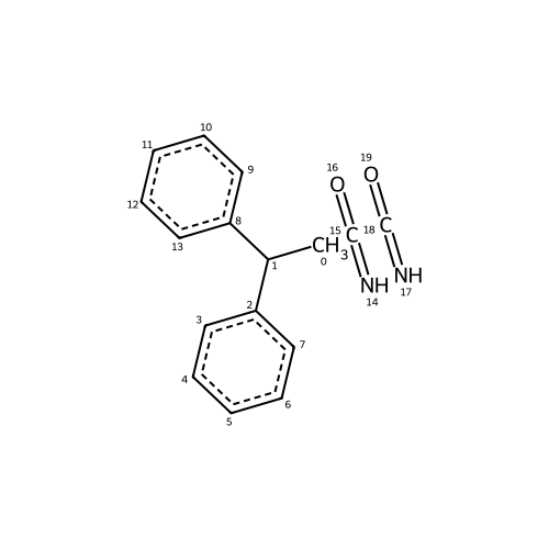 CC(c1ccccc1)c1ccccc1.N=C=O.N=C=O